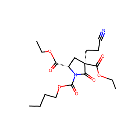 CCCCOC(=O)N1C(=O)[C@](CCC#N)(C(=O)OCC)C[C@H]1C(=O)OCC